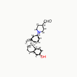 CC(C)(C)C[C@H]1CCc2cc(O)ccc2[C@H]1c1ccc(N2CCC(C=O)CC2)cc1